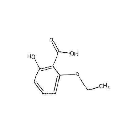 CCOc1cccc(O)c1C(=O)O